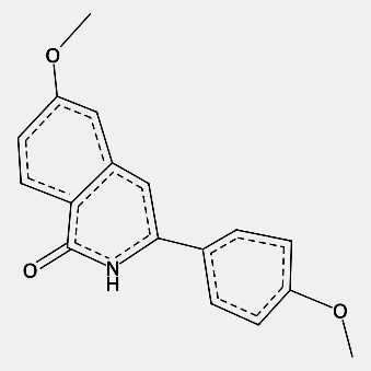 COc1ccc(-c2cc3cc(OC)ccc3c(=O)[nH]2)cc1